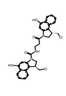 O=C(CCNC(=O)N1C[C@@H](CCl)c2c1cc(O)c1ccccc21)N1C[C@@H](CCl)c2c1cc(O)c1ccccc21